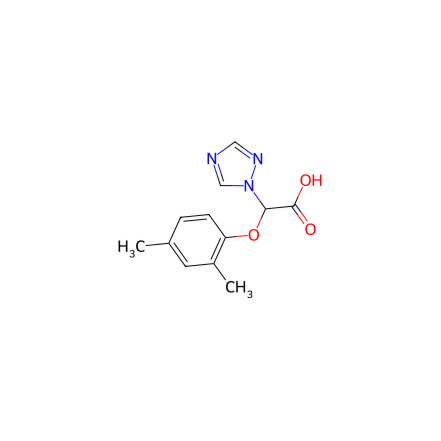 Cc1ccc(OC(C(=O)O)n2cncn2)c(C)c1